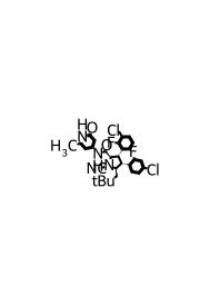 Cc1cc(NC(=O)[C@H]2[C@H](c3cccc(Cl)c3F)[C@H](c3ccc(Cl)cc3F)[C@@H](CC(C)(C)C)N2C#N)cc(=O)[nH]1